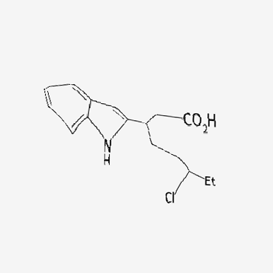 CCC(Cl)CCC(CC(=O)O)c1cc2ccccc2[nH]1